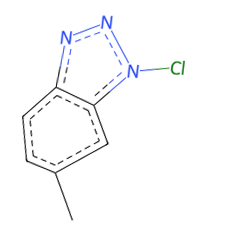 Cc1ccc2nnn(Cl)c2c1